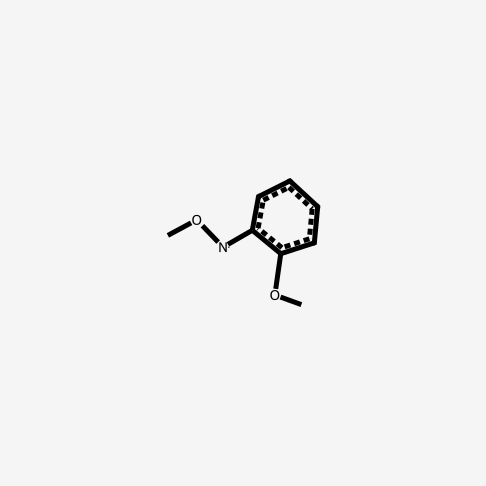 CO[N]c1ccccc1OC